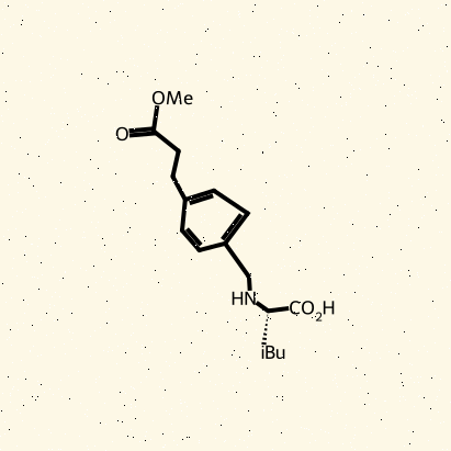 CCC(C)[C@H](NCc1ccc(CCC(=O)OC)cc1)C(=O)O